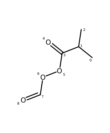 CC(C)C(=O)OOC=O